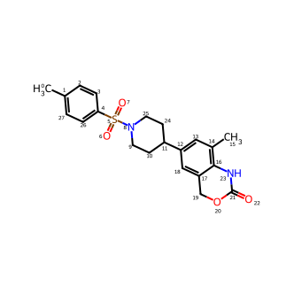 Cc1ccc(S(=O)(=O)N2CCC(c3cc(C)c4c(c3)COC(=O)N4)CC2)cc1